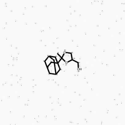 CC1(C23CC4CC(CC(C4)C2)C3)OCC(CO)O1